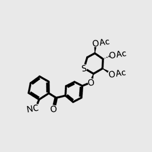 CC(=O)O[C@@H]1[C@@H](OC(C)=O)[C@@H](Oc2ccc(C(=O)c3ccccc3C#N)cc2)SC[C@H]1OC(C)=O